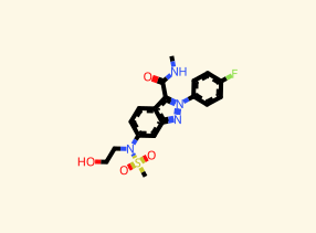 CNC(=O)c1c2ccc(N(CCO)S(C)(=O)=O)cc2nn1-c1ccc(F)cc1